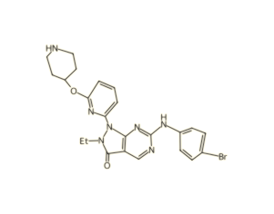 CCn1c(=O)c2cnc(Nc3ccc(Br)cc3)nc2n1-c1cccc(OC2CCNCC2)n1